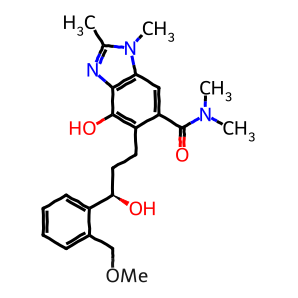 COCc1ccccc1[C@H](O)CCc1c(C(=O)N(C)C)cc2c(nc(C)n2C)c1O